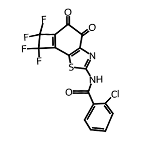 O=C1C(=O)c2nc(NC(=O)c3ccccc3Cl)sc2C2=C1C(F)(F)C2(F)F